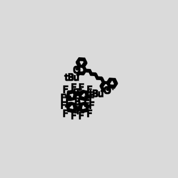 CC(C)(C)C1=C\C(=C/C=C/C=C/c2cc(C(C)(C)C)[o+]c3ccccc23)c2ccccc2O1.Fc1c(F)c(F)c([B-](c2c(F)c(F)c(F)c(F)c2F)(c2c(F)c(F)c(F)c(F)c2F)c2c(F)c(F)c(F)c(F)c2F)c(F)c1F